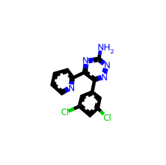 Nc1nnc(-c2cc(Cl)cc(Cl)c2)c(-c2ccccn2)n1